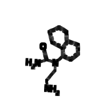 NCCN(C(N)=O)c1cccc2ccccc12